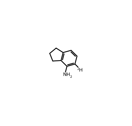 [2H]c1ccc2c(c1N)CCC2